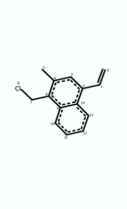 C=Cc1cc(C)c(CCl)c2ccccc12